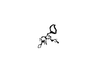 CSCN1CN(Cc2ccccc2)c2cnc(Cl)nc21